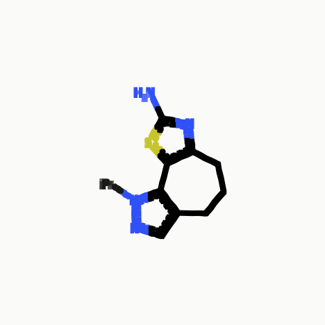 CC(C)n1ncc2c1-c1sc(N)nc1CCC2